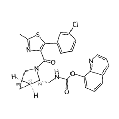 Cc1nc(C(=O)N2C[C@@H]3C[C@@H]3[C@H]2CNC(=O)Oc2cccc3cccnc23)c(-c2cccc(Cl)c2)s1